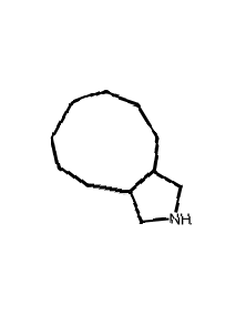 C1CCC[C]2CNCC2CCC1